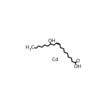 CCCCCCC(O)C/C=C\CCCCCCCC(=O)O.[Cd]